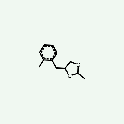 Cc1ccccc1CC1COC(C)O1